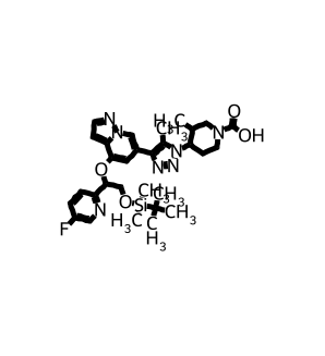 Cc1c(-c2cc(OC(CO[Si](C)(C)C(C)(C)C)c3ccc(F)cn3)c3ccnn3c2)nnn1C1CCN(C(=O)O)CC1C